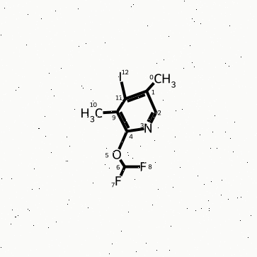 Cc1cnc(OC(F)F)c(C)c1I